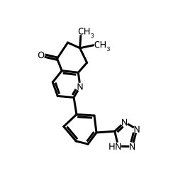 CC1(C)CC(=O)c2ccc(-c3cccc(-c4nnn[nH]4)c3)nc2C1